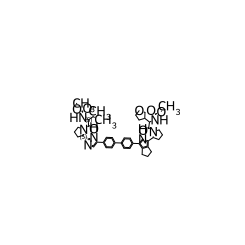 COC(=O)NC(C(=O)N1CCCC1c1[nH]c(-c2ccc(-c3ccc(-c4cnc([C@@H]5CCCN5C(=O)[C@@H](NC(=O)OC)C(C)C)[nH]4)cc3)cc2)c2c1CCC2)C1CCOC1